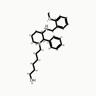 COc1ccccc1CNC1CCCN(CCCCCCO)C1c1ccccc1